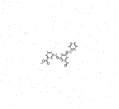 COC(=O)c1cccc(COc2cc(C=O)cc(OCc3ccccc3)c2)c1